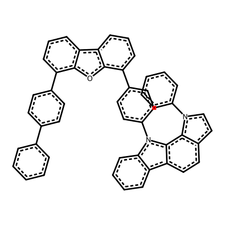 c1ccc(-c2ccc(-c3cccc4c3oc3c(-c5ccc(-n6c7ccccc7c7ccc8ccn(-c9ccccc9)c8c76)cc5)cccc34)cc2)cc1